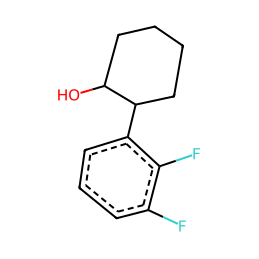 OC1CCCCC1c1cccc(F)c1F